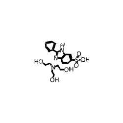 O=S(=O)(O)c1ccc2nc(-c3ccccc3)[nH]c2c1.OCCN(CCO)CCO